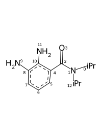 CC(C)N(C(=O)c1cccc(N)c1N)C(C)C